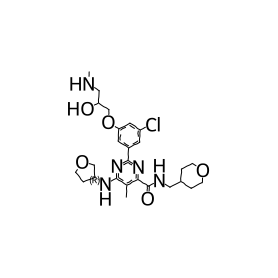 CNCC(O)COc1cc(Cl)cc(-c2nc(N[C@@H]3CCOC3)c(C)c(C(=O)NCC3CCOCC3)n2)c1